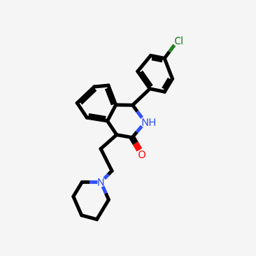 O=C1NC(c2ccc(Cl)cc2)c2ccccc2C1CCN1CCCCC1